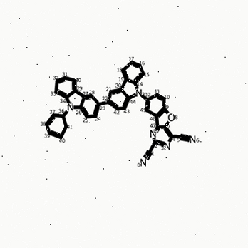 N#Cc1nc(C#N)c2oc3ccc(-n4c5ccccc5c5cc(-c6ccc7c(c6)c6ccccc6n7C6C=CC=CC6)ccc54)cc3c2n1